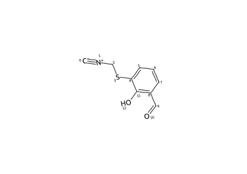 [C-]#[N+]CSc1cccc(C=O)c1O